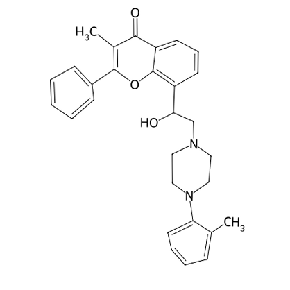 Cc1ccccc1N1CCN(CC(O)c2cccc3c(=O)c(C)c(-c4ccccc4)oc23)CC1